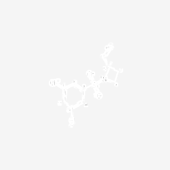 O=[C][C@@H]1CCN1S(=O)(=O)c1cc(Cl)cc(Cl)c1